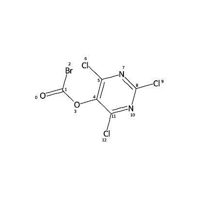 O=C(Br)Oc1c(Cl)nc(Cl)nc1Cl